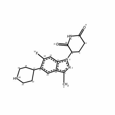 Cc1nn(C2CCC(=O)NC2=O)c2cc(F)c(C3CCNCC3)cc12